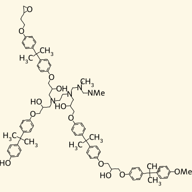 CNCN(C)CN(CCN(CC(O)COc1ccc(C(C)(C)c2ccc(O)cc2)cc1)CC(O)COc1ccc(C(C)(C)c2ccc(OCCC3CO3)cc2)cc1)CC(O)COc1ccc(C(C)(C)c2ccc(OCC(O)COc3ccc(C(C)(C)c4ccc(OC)cc4)cc3)cc2)cc1